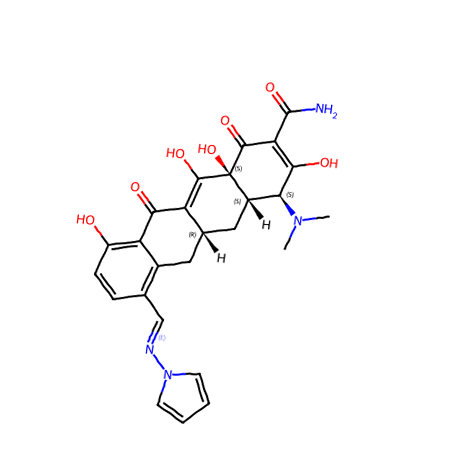 CN(C)[C@@H]1C(O)=C(C(N)=O)C(=O)[C@@]2(O)C(O)=C3C(=O)c4c(O)ccc(/C=N/n5cccc5)c4C[C@H]3C[C@@H]12